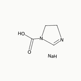 O=C(O)N1C=NCC1.[NaH]